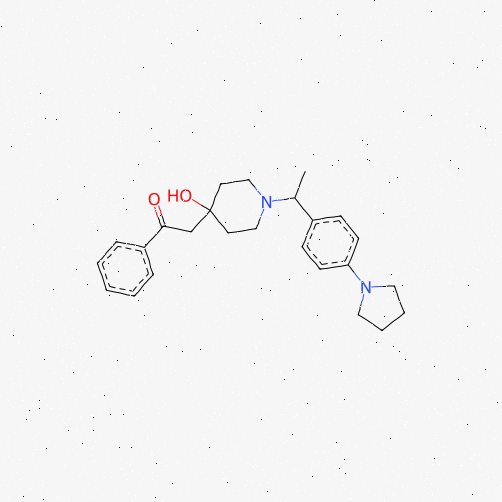 CC(c1ccc(N2CCCC2)cc1)N1CCC(O)(CC(=O)c2ccccc2)CC1